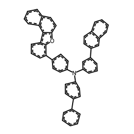 c1ccc(-c2ccc(N(c3ccc(-c4cccc5c4oc4ccc6ccccc6c45)cc3)c3cccc(-c4ccc5ccccc5c4)c3)cc2)cc1